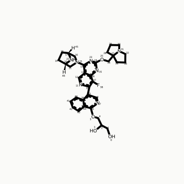 OCC(O)COc1ncc(-c2ncc3c(N4C[C@H]5CC[C@@H](C4)N5)nc(OCC45CCCN4CCC5)nc3c2F)c2ccccc12